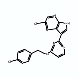 Clc1ccc(CNc2ccnc(-c3c[nH]c4ncc(Cl)nc34)n2)cc1